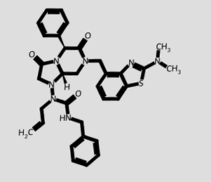 C=CCN(C(=O)NCc1ccccc1)N1CC(=O)N2[C@@H](c3ccccc3)C(=O)N(Cc3cccc4sc(N(C)C)nc34)C[C@@H]21